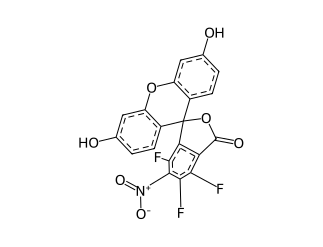 O=C1OC2(c3ccc(O)cc3Oc3cc(O)ccc32)c2c(F)c([N+](=O)[O-])c(F)c(F)c21